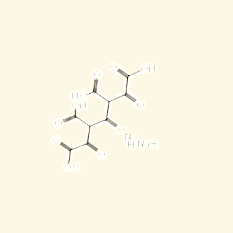 O=C(O)C(=O)C(C(=O)O)C(=O)C(C(=O)O)C(=O)C(=O)O.[NaH].[NaH]